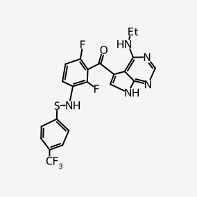 CCNc1ncnc2[nH]cc(C(=O)c3c(F)ccc(NSc4ccc(C(F)(F)F)cc4)c3F)c12